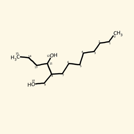 CCCCCCCCC(CO)C(O)CCC